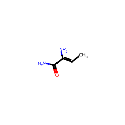 C/C=C(\N)C(N)=O